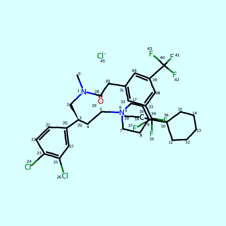 CN(C[C@@H](CC[N+]12CCC(C3CCCCC3)(CC1)CC2)c1ccc(Cl)c(Cl)c1)C(=O)Cc1cc(C(F)(F)F)cc(C(F)(F)F)c1.[Cl-]